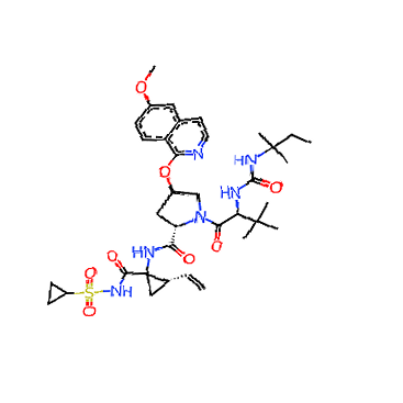 C=C[C@@H]1CC1(NC(=O)[C@@H]1CC(Oc2nccc3cc(OC)ccc23)CN1C(=O)[C@@H](NC(=O)NC(C)(C)CC)C(C)(C)C)C(=O)NS(=O)(=O)C1CC1